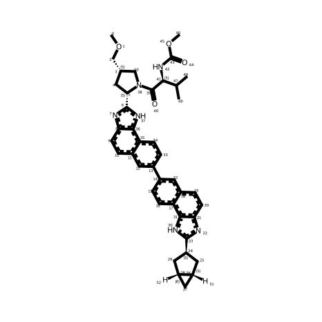 COC[C@H]1C[C@@H](c2nc3ccc4cc(-c5ccc6c(ccc7nc([C@H]8C[C@@H]9C[C@@H]9C8)[nH]c76)c5)ccc4c3[nH]2)N(C(=O)[C@@H](NC(=O)OC)C(C)C)C1